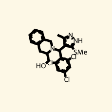 CSc1[nH]nc(C)c1C(c1c(Cl)cc(Cl)cc1Cl)N1Cc2ccccc2CC1CO